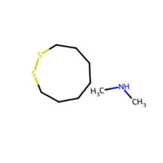 C1CCCSSCCC1.CNC